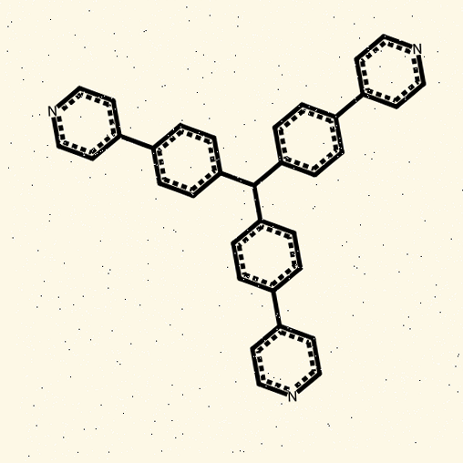 c1cc(-c2ccc(C(c3ccc(-c4ccncc4)cc3)c3ccc(-c4ccncc4)cc3)cc2)ccn1